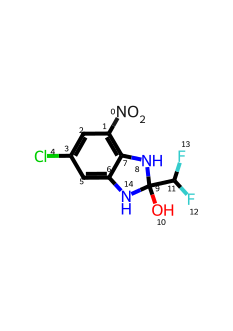 O=[N+]([O-])c1cc(Cl)cc2c1NC(O)(C(F)F)N2